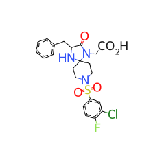 O=C(O)CN1C(=O)C(Cc2ccccc2)NC12CCN(S(=O)(=O)c1ccc(F)c(Cl)c1)CC2